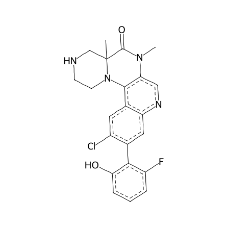 CN1C(=O)C2(C)CNCCN2c2c1cnc1cc(-c3c(O)cccc3F)c(Cl)cc21